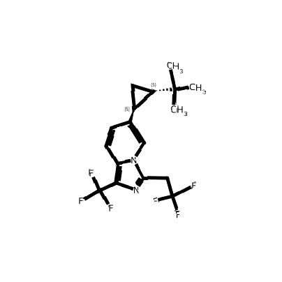 CC(C)(C)[C@H]1C[C@@H]1c1ccc2c(C(F)(F)F)nc(CC(F)(F)F)n2c1